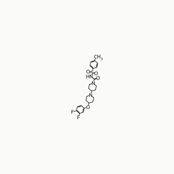 Cc1ccc(S(=O)(=O)NC(=O)N2CCC(N3CCC(Oc4ccc(F)c(F)c4)CC3)CC2)cc1